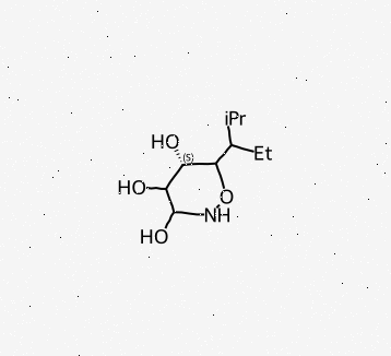 CCC(C(C)C)C1ONC(O)C(O)[C@@H]1O